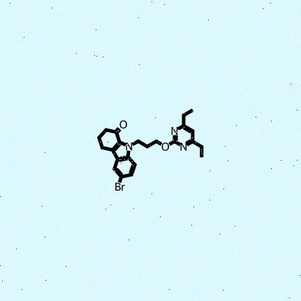 CCc1cc(CC)nc(OCCCn2c3c(c4cc(Br)ccc42)CCCC3=O)n1